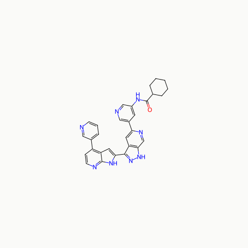 O=C(Nc1cncc(-c2cc3c(-c4cc5c(-c6cccnc6)ccnc5[nH]4)n[nH]c3cn2)c1)C1CCCCC1